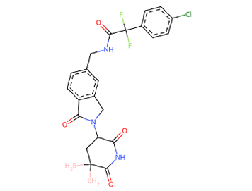 BC1(B)CC(N2Cc3cc(CNC(=O)C(F)(F)c4ccc(Cl)cc4)ccc3C2=O)C(=O)NC1=O